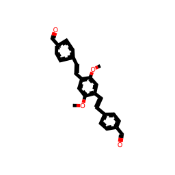 COc1cc(C=Cc2ccc(C=O)cc2)c(OC)cc1C=Cc1ccc(C=O)cc1